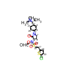 C[C@H](c1ccc(N2CC[C@H](N(OC=O)S(=O)(=O)/C=C/c3ccc(Cl)s3)C2=O)cc1)N(C)C